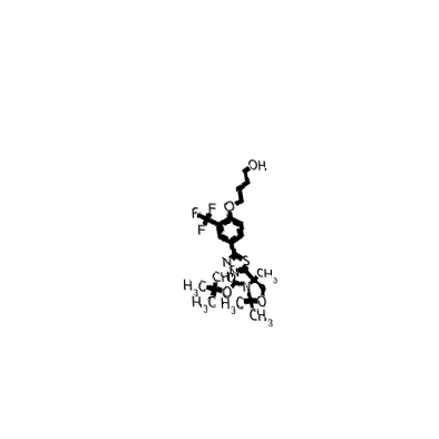 CC(C)(C)OC(=O)N1C(C)(C)OCC1(C)c1nnc(-c2ccc(OCCCCO)c(C(F)(F)F)c2)s1